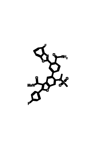 CNC(=O)c1c(-c2ccc(F)cc2)oc2cc(N(C)S(C)(=O)=O)c(-c3ccc(C(N)=O)c(-c4nc5c(F)cccc5o4)c3)cc12